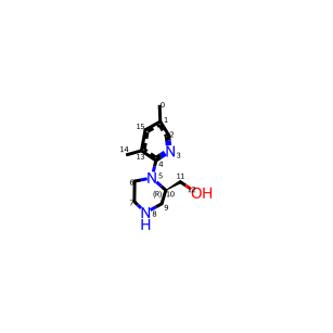 Cc1cnc(N2CCNC[C@@H]2CO)c(C)c1